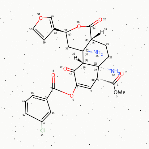 COC(=O)[C@@H]1C=C(OC(=O)c2cccc(Cl)c2)C(=O)[C@H]2[C@@]1(N)CC[C@H]1C(=O)O[C@H](c3ccoc3)C[C@]21N